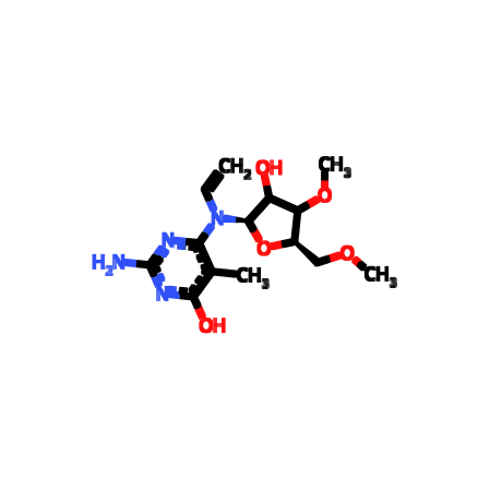 C=CN(c1nc(N)nc(O)c1C)[C@@H]1O[C@H](COC)C(OC)C1O